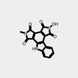 Cn1c(=O)c2c3[nH]c4ccccc4c3c3c(=O)n(O)c(=O)c3c2c1=O